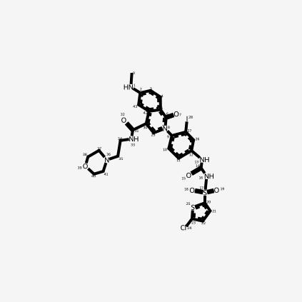 CNc1ccc2c(=O)n(-c3ccc(NC(=O)NS(=O)(=O)c4ccc(Cl)s4)cc3I)cc(C(=O)NCCN3CCOCC3)c2c1